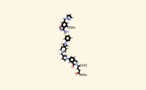 CNC(=O)CCC(C=O)N1Cc2ccc(N3CCC(CN4CCC5(CC4)CN(c4cccc(SNc6noc7cc(Cn8cccn8)cc(OC)c67)c4)C5)C3)cc2C1=O